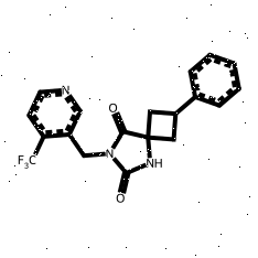 O=C1NC2(CC(c3ccccc3)C2)C(=O)N1Cc1cnccc1C(F)(F)F